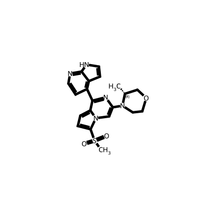 C[C@@H]1COCCN1c1cn2c(S(C)(=O)=O)ccc2c(-c2ccnc3[nH]ccc23)n1